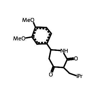 COc1ccc(C2CC(=O)C(CC(C)C)C(=O)N2)cc1OC